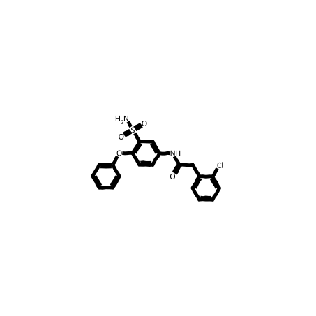 NS(=O)(=O)c1cc(NC(=O)Cc2ccccc2Cl)ccc1Oc1ccccc1